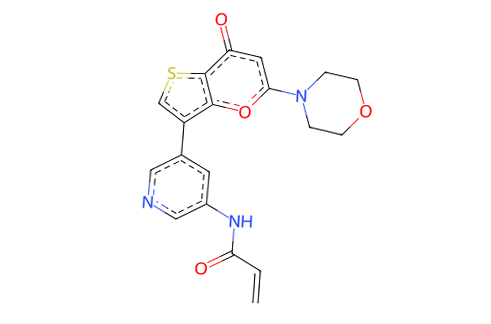 C=CC(=O)Nc1cncc(-c2csc3c(=O)cc(N4CCOCC4)oc23)c1